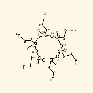 C[Si]1(CCF)O[Si](C)(CCF)O[Si](C)(CCF)O[Si](C)(CCF)O[Si](C)(CCF)O[Si](C)(CCF)O1